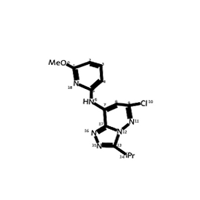 COc1cccc(Nc2cc(Cl)nn3c(C(C)C)nnc23)n1